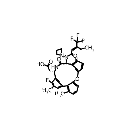 CC/C(=C\C(=O)N([C@@H]1C(=O)N[C@@H](CC(=O)O)c2cc(cc(C)c2F)-c2c(C)cccc2Oc2ccc(F)c1c2)N1CCC1)C(F)(F)F